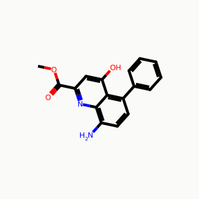 COC(=O)c1cc(O)c2c(-c3ccccc3)ccc(N)c2n1